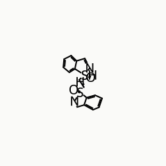 O=[SH]1([CH]C[SH]2(=O)N=Cc3ccccc32)N=Cc2ccccc21